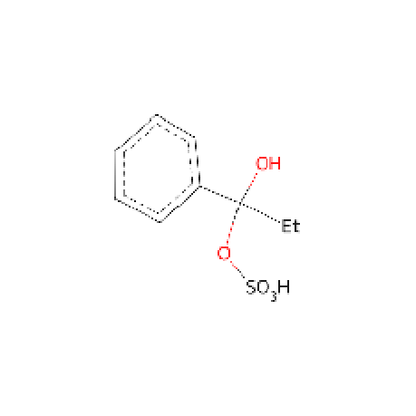 CCC(O)(OS(=O)(=O)O)c1ccccc1